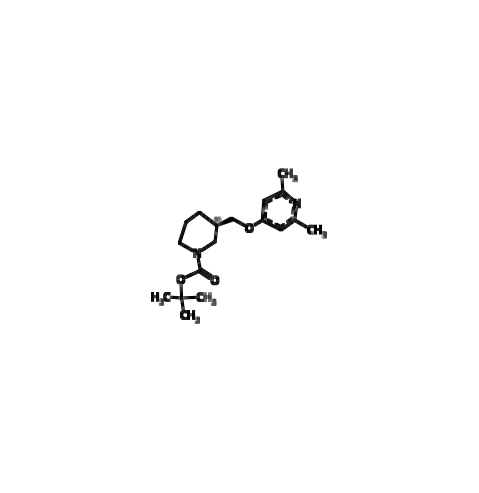 Cc1cc(OC[C@@H]2CCCN(C(=O)OC(C)(C)C)C2)cc(C)n1